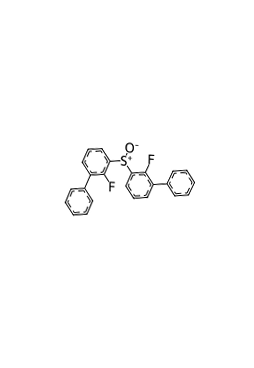 [O-][S+](c1cccc(-c2ccccc2)c1F)c1cccc(-c2ccccc2)c1F